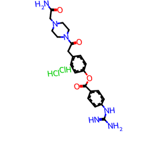 Cl.Cl.N=C(N)Nc1ccc(C(=O)Oc2ccc(CC(=O)N3CCN(CC(N)=O)CC3)cc2)cc1